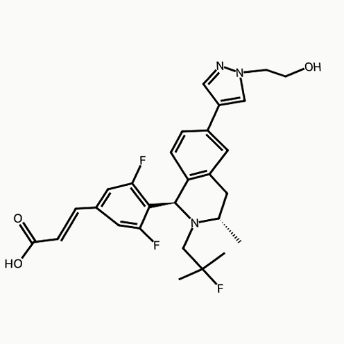 C[C@H]1Cc2cc(-c3cnn(CCO)c3)ccc2[C@H](c2c(F)cc(/C=C/C(=O)O)cc2F)N1CC(C)(C)F